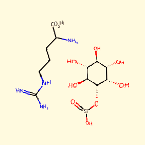 N=C(N)NCCCC(N)C(=O)O.O=[Si](O)O[C@@H]1[C@@H](O)[C@H](O)[C@@H](O)[C@H](O)[C@@H]1O